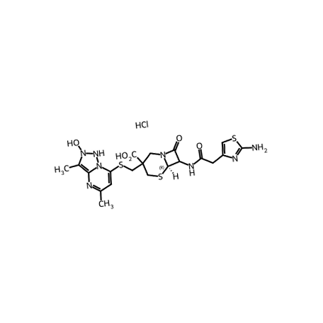 CC1=NC2=C(C)N(O)NN2C(SCC2(C(=O)O)CS[C@@H]3C(NC(=O)Cc4csc(N)n4)C(=O)N3C2)=C1.Cl